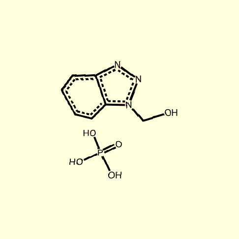 O=P(O)(O)O.OCn1nnc2ccccc21